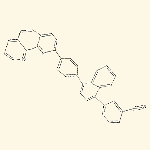 N#Cc1cccc(-c2ccc(-c3ccc(-c4ccc5ccc6cccnc6c5n4)cc3)c3ccccc23)c1